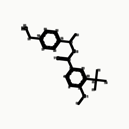 COc1ccc(C(=O)OC(C)c2ccc(CO)cc2)cc1C(C)(C)C